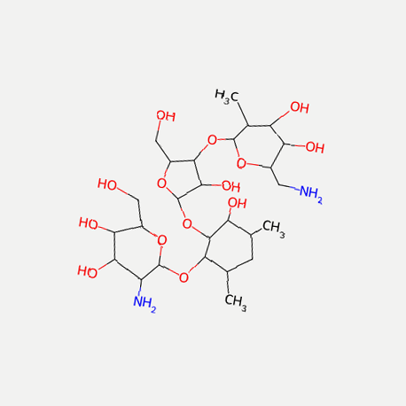 CC1CC(C)C(OC2OC(CO)C(O)C(O)C2N)C(OC2OC(CO)C(OC3OC(CN)C(O)C(O)C3C)C2O)C1O